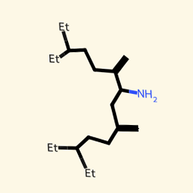 C=C(CCC(CC)CC)CC(N)C(=C)CCC(CC)CC